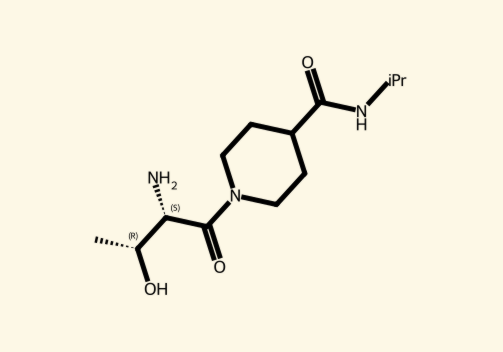 CC(C)NC(=O)C1CCN(C(=O)[C@@H](N)[C@@H](C)O)CC1